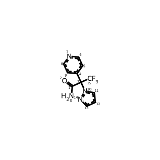 NC(=O)C(c1ccncc1)(n1cccn1)C(F)(F)F